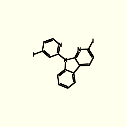 Ic1ccnc(-n2c3ccccc3c3ccc(I)nc32)c1